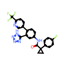 O=C(Nc1ccc(-c2ccc(C(F)(F)F)nc2)c(-c2nnn[nH]2)c1)C1(c2ccc(F)cc2)CC1